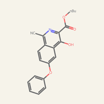 CCCCOC(=O)c1nc(C#N)c2ccc(Oc3ccccc3)cc2c1O